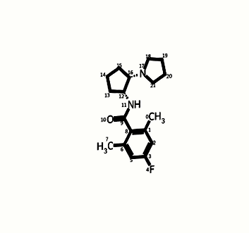 Cc1cc(F)cc(C)c1C(=O)N[C@@H]1CCC[C@@H]1N1CCCC1